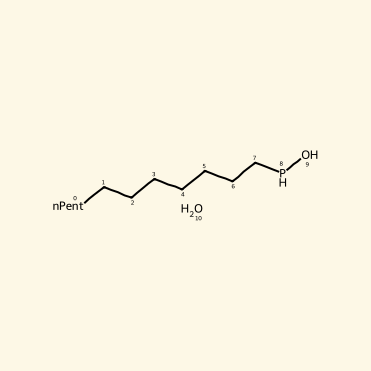 CCCCCCCCCCCCPO.O